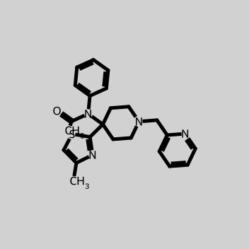 CC(=O)N(c1ccccc1)C1(c2nc(C)cs2)CCN(Cc2ccccn2)CC1